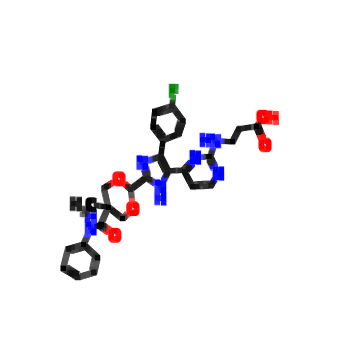 CC1(C(=O)Nc2ccccc2)COC(c2nc(-c3ccc(F)cc3)c(-c3ccnc(NCCC(=O)O)n3)[nH]2)OC1